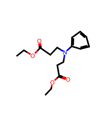 CCOC(=O)CCN(CCC(=O)OCC)c1ccccc1